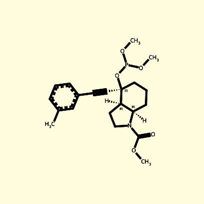 COC(=O)N1CC[C@@H]2[C@H]1CCC[C@]2(C#Cc1cccc(C)c1)OP(OC)OC